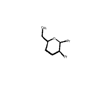 CC(C)C1CCC(CO)OC1C(C)C